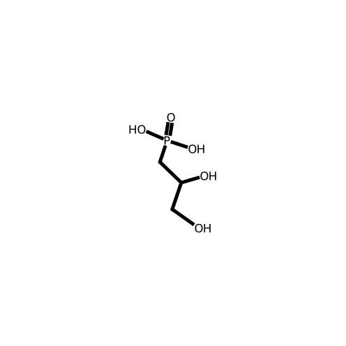 O=P(O)(O)CC(O)CO